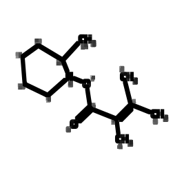 CC(C)=C(C)C(=O)ON1CCCCC1C